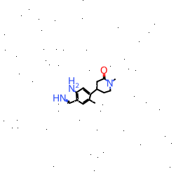 Cc1cc(C=N)c(N)cc1C1CCN(C)C(=O)C1